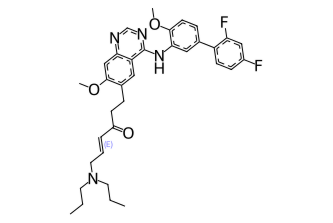 CCCN(C/C=C/C(=O)CCc1cc2c(Nc3cc(-c4ccc(F)cc4F)ccc3OC)ncnc2cc1OC)CCC